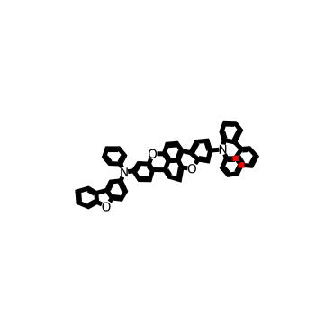 c1ccc(-c2ccccc2N(c2ccccc2)c2ccc3c(c2)Oc2ccc4c5c(ccc-3c25)Oc2cc(N(c3ccccc3)c3ccc5oc6ccccc6c5c3)ccc2-4)cc1